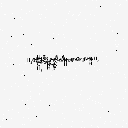 COC1Cc2nnn(CC(C)COCC(C)(C)CN(C)N)c2CCN(C(=O)CCCC(=O)NCCCOCCOCCOCCCNN)C1